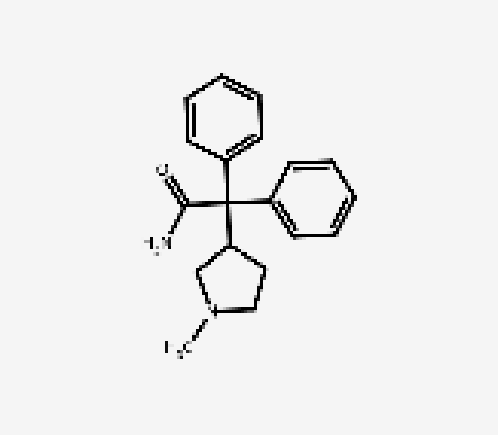 CN1CCC(C(C(N)=O)(c2ccccc2)c2ccccc2)C1